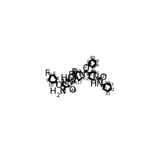 Nc1c(Oc2ccc(F)cc2)ncn(C[C@@]2(O)CCN(C(=O)[C@@H]3CCN(C(=O)Nc4ccccc4)C[C@H]3c3ccccc3)CC2(F)F)c1=O